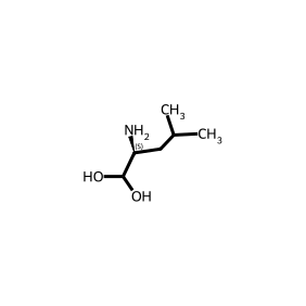 CC(C)C[C@H](N)C(O)O